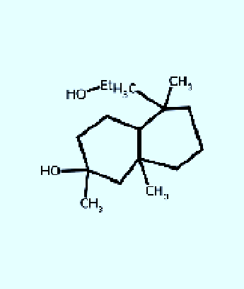 CC1(O)CCC2C(C)(C)CCCC2(C)C1.CCO